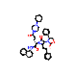 O=C(N[C@@H]1CCCc2ccccc21)[C@H](CCC(=O)N1CCN(C2CCCCC2)CC1)N1C(=O)[C@@H](N2C(=O)OC[C@@H]2c2ccccc2)[C@H]1/C=C/c1ccccc1